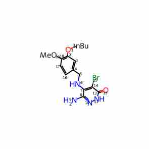 CCCCOc1cc(CNc2c(N)n[nH]c(=O)c2Br)ccc1OC